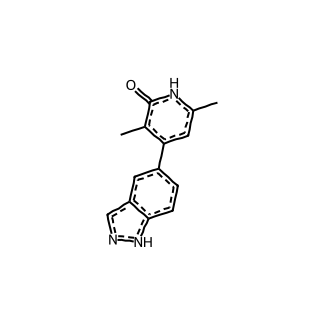 Cc1cc(-c2ccc3[nH]ncc3c2)c(C)c(=O)[nH]1